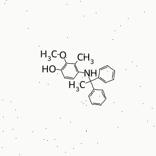 COc1c(O)ccc(NC(C)(c2ccccc2)c2ccccc2)c1C